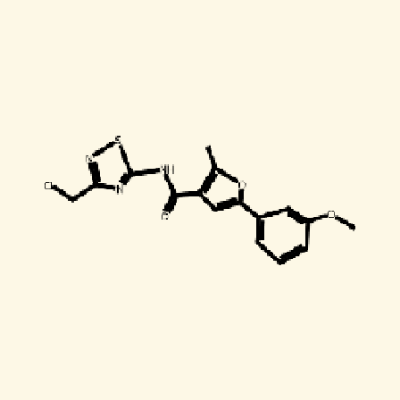 COc1cccc(-c2cc(C(=O)Nc3nc(CCl)ns3)c(C)o2)c1